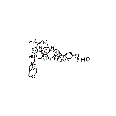 C=C(C)[C@@H]1CC[C@]2(NCCN3C4COCC3COC4)CC[C@]3(C)[C@H](CC[C@@H]4[C@@]5(C)CC=C(c6ccc(OC=O)cc6)C(C)(C)[C@@H]5CC[C@]43C)[C@@H]12